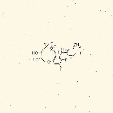 C=C/C=C(\C=C/CI)Nc1c(F)c(F)cc2c1NS(=O)(=O)C1(CC1)CC(O)C(O)CO2